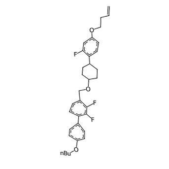 C=CCCOc1ccc(C2CCC(OCc3ccc(-c4ccc(OCCCC)cc4)c(F)c3F)CC2)c(F)c1